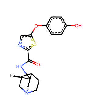 O=C(N[C@H]1CN2CCC1CC2)c1ncc(Oc2ccc(O)cc2)s1